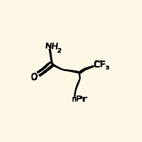 CCCC(C(N)=O)C(F)(F)F